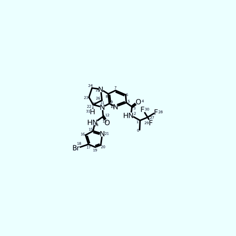 CC(NC(=O)c1ccc2c(n1)N(C(=O)Nc1cc(Br)ccn1)[C@H]1CCN2C1)C(F)(F)F